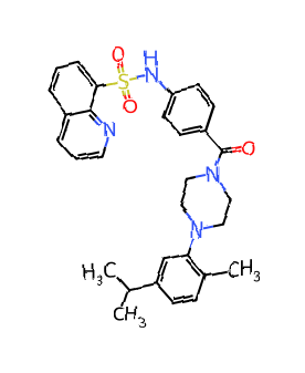 Cc1ccc(C(C)C)cc1N1CCN(C(=O)c2ccc(NS(=O)(=O)c3cccc4cccnc34)cc2)CC1